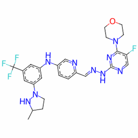 CC1CCN(c2cc(Nc3ccc(/C=N/Nc4ncc(F)c(N5CCOCC5)n4)nc3)cc(C(F)(F)F)c2)N1